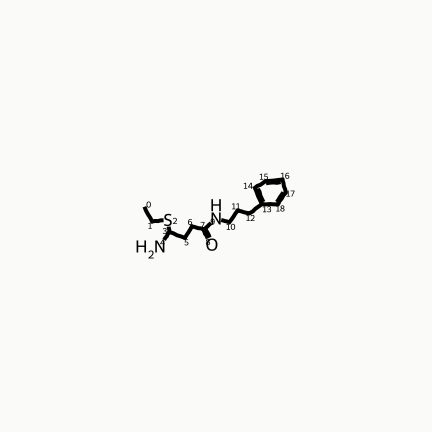 CCSC(N)CCC(=O)NCCCc1ccccc1